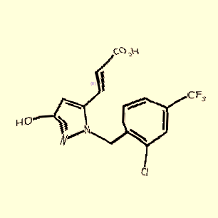 O=C(O)/C=C/c1cc(O)nn1Cc1ccc(C(F)(F)F)cc1Cl